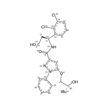 CC(C)(C)[C@@H](O)COc1cc(C(=O)N[C@@H](CC(=O)O)c2cccc(Cl)c2Cl)nn1-c1ccccc1